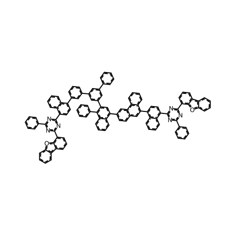 c1ccc(-c2cc(-c3cccc(-c4ccc(-c5nc(-c6ccccc6)nc(-c6cccc7c6oc6ccccc67)n5)c5ccccc45)c3)cc(-c3cc(-c4ccc5cc(-c6ccc(-c7nc(-c8ccccc8)nc(-c8cccc9c8oc8ccccc89)n7)c7ccccc67)c6ccccc6c5c4)c4ccccc4c3-c3ccccc3)c2)cc1